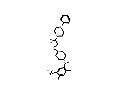 Cc1cc(C)c(C(F)(F)F)cc1NC1CCC(OCC(=O)N2CCN(c3ccccc3)CC2)CC1